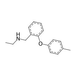 CCNCc1ccccc1Oc1ccc(C)cc1